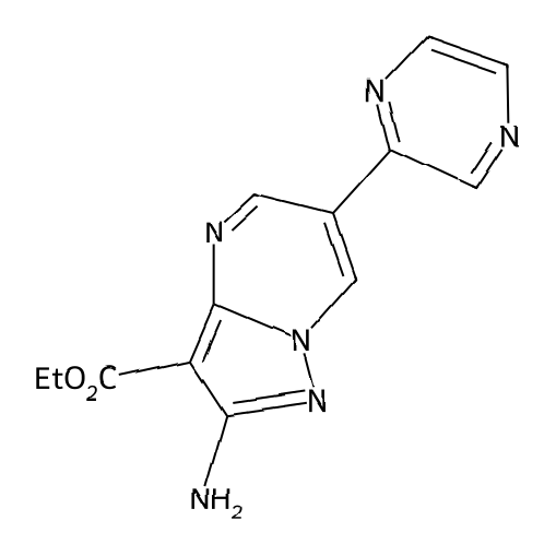 CCOC(=O)c1c(N)nn2cc(-c3cnccn3)cnc12